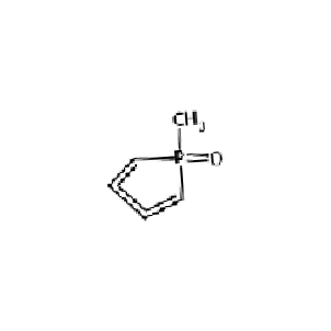 CP1(=O)C=C=C=C1